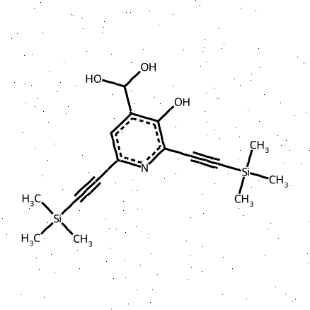 C[Si](C)(C)C#Cc1cc(C(O)O)c(O)c(C#C[Si](C)(C)C)n1